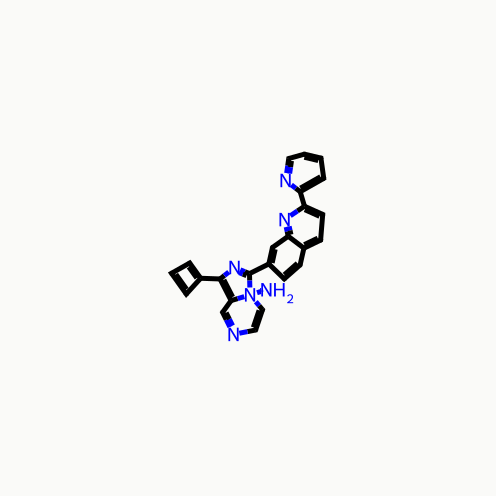 N[N+]12C=CN=CC1=C(C1=CC=C1)N=C2c1ccc2ccc(-c3ccccn3)nc2c1